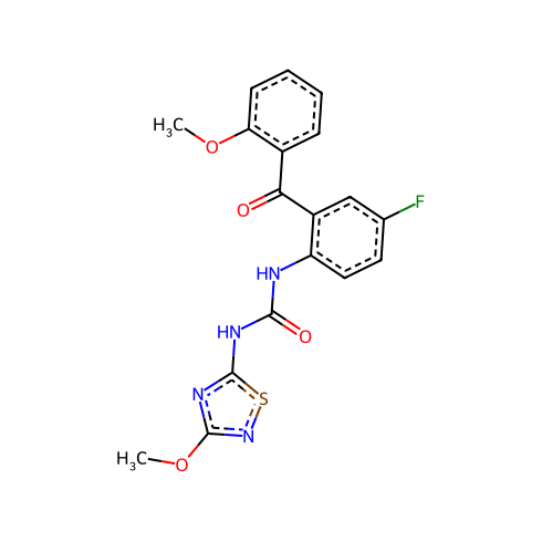 COc1nsc(NC(=O)Nc2ccc(F)cc2C(=O)c2ccccc2OC)n1